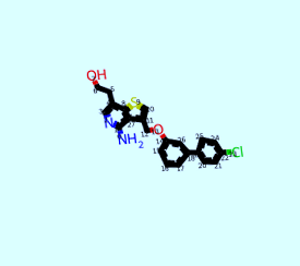 Nc1ncc(CCO)c2scc(COc3cccc(-c4ccc(Cl)cc4)c3)c12